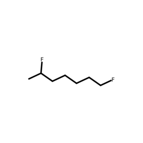 CC(F)CCCCCF